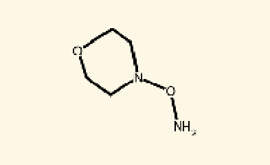 NON1CCOCC1